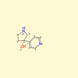 OC1(c2ccncc2)CCNC1